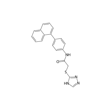 O=C(CSc1nnc[nH]1)Nc1ccc(-c2cccc3ccccc23)cc1